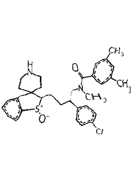 Cc1cc(C)cc(C(=O)N(C)C[C@@H](CCC2[S+]([O-])c3ccccc3C23CCNCC3)c2ccc(Cl)cc2)c1